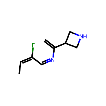 C=C(/N=C\C(F)=C/C)C1CNC1